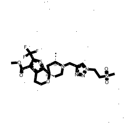 COC(=O)c1c(C(F)(F)F)sc2c1CCO[C@@]21CCN(Cc2cn(CCS(C)(=O)=O)nn2)[C@@H](C)C1